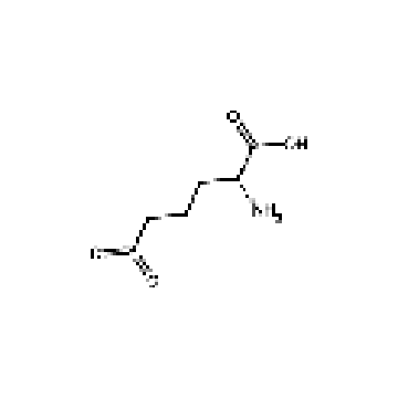 N[C@H](CCCP(=O)=O)C(=O)O